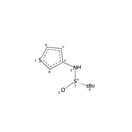 CC(C)(C)[S@+]([O-])Nc1ccsc1